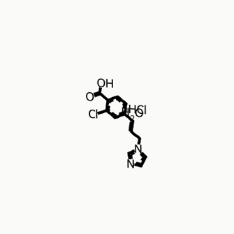 Cl.O.O=C(O)c1ccc(C=CCn2ccnc2)cc1Cl